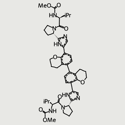 COC(=O)N[C@H](C(=O)N1CCC[C@H]1c1ncc(-c2ccc(-c3ccc(-c4cnc([C@@H]5CCCN5C(=O)[C@@H](NC(=O)OC)C(C)C)[nH]4)c4c3CCCO4)c3c2OCCC3)[nH]1)C(C)C